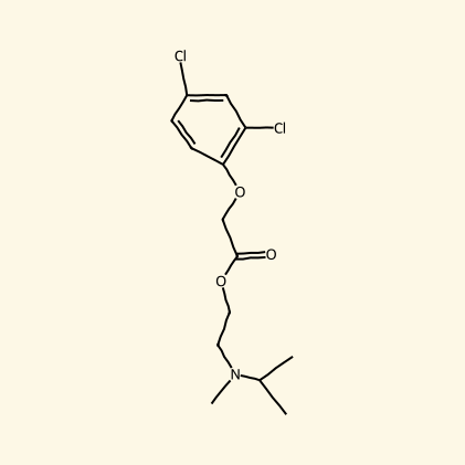 CC(C)N(C)CCOC(=O)COc1ccc(Cl)cc1Cl